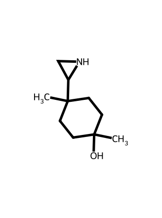 CC1(O)CCC(C)(C2CN2)CC1